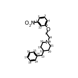 O=[N+]([O-])c1cccc(OCCN2CCC(Cc3ccccc3)CC2)c1